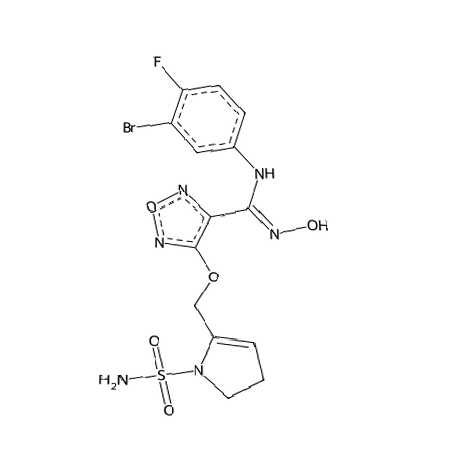 NS(=O)(=O)N1CCC=C1COc1nonc1/C(=N/O)Nc1ccc(F)c(Br)c1